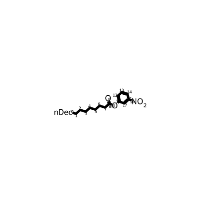 CCCCCCCCCCCCCCCCCC(=O)Oc1cccc([N+](=O)[O-])c1